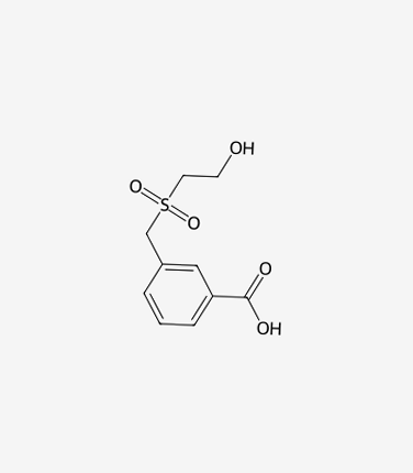 O=C(O)c1cccc(CS(=O)(=O)CCO)c1